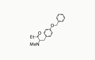 CCC(=O)C(Cc1ccc(OCc2ccccc2)cc1)NC